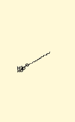 CCCCCCCCCCCCCCCCCCOCCOP(O)O